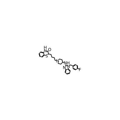 O=C1Nc2ccccc2SC1CCCCN1CCC(Nc2nc3ccccc3n2Cc2ccc(F)cc2)CC1